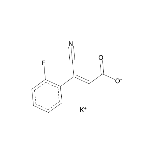 N#CC(=CC(=O)[O-])c1ccccc1F.[K+]